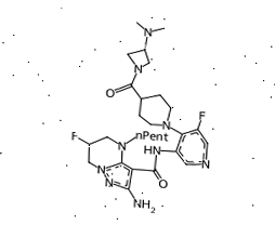 CCCCCN1CC(F)Cn2nc(N)c(C(=O)Nc3cncc(F)c3N3CCC(C(=O)N4CC(N(C)C)C4)CC3)c21